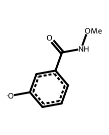 CONC(=O)c1cccc([O])c1